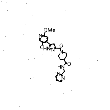 COc1cc(-c2cc(C(=O)N3CCC(C(=O)NCc4ncccn4)CC3)n[nH]2)c(Cl)cn1